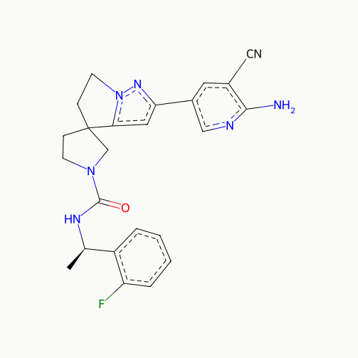 C[C@@H](NC(=O)N1CCC2(CCn3nc(-c4cnc(N)c(C#N)c4)cc32)C1)c1ccccc1F